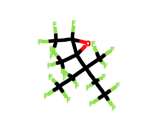 FC(F)(F)C(F)(F)C(C(F)(F)F)(C(F)(F)C(F)(F)F)C1(C(F)(F)F)OC1(F)C(F)(F)F